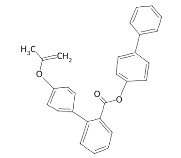 C=C(C)Oc1ccc(-c2ccccc2C(=O)Oc2ccc(-c3ccccc3)cc2)cc1